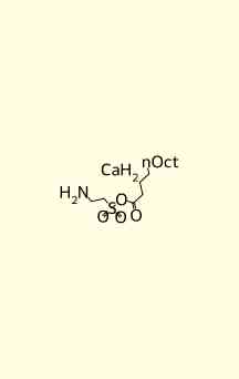 CCCCCCCCCCCC(=O)OS(=O)(=O)CCN.[CaH2]